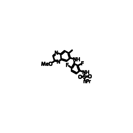 CCCS(=O)(=O)Nc1ccc(F)c(Nc2cc3nc(OC)cnc3cc2C)c1F